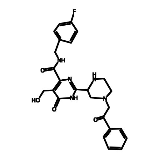 O=C(CN1CCNC(c2nc(C(=O)NCc3ccc(F)cc3)c(CO)c(=O)[nH]2)C1)c1ccccc1